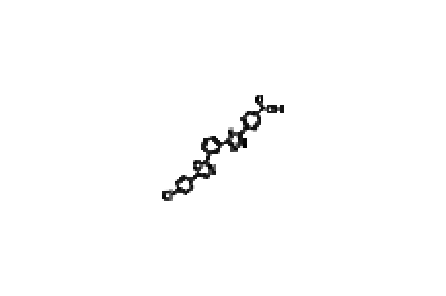 O=C(O)c1ccc(-c2nnc(-c3cccc(-c4ncc(-c5ccc(Cl)cc5)o4)c3)s2)cc1